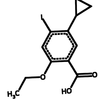 CCOc1cc(I)c(C2CC2)cc1C(=O)O